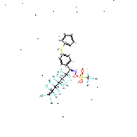 O=S(=O)(ON=C(c1ccc(Sc2ccccc2)cc1)C(F)(F)C(F)(F)C(F)(F)C(F)(F)C(F)(F)C(F)F)C(F)(F)F